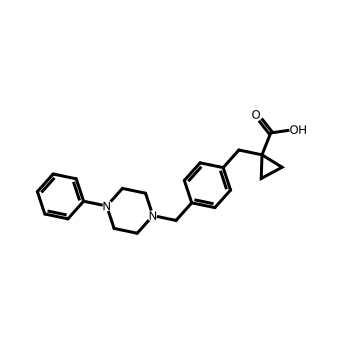 O=C(O)C1(Cc2ccc(CN3CCN(c4ccccc4)CC3)cc2)CC1